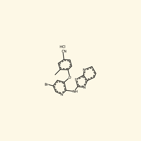 Cc1cc(C#N)ccc1Oc1cc(Br)cnc1Nc1nc2cccnc2s1.Cl